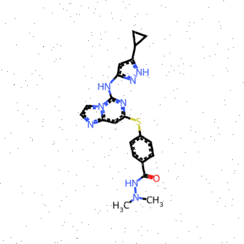 CN(C)NC(=O)c1ccc(Sc2cc3nccn3c(Nc3cc(C4CC4)[nH]n3)n2)cc1